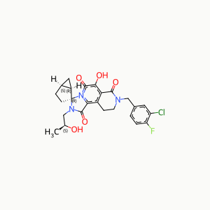 C[C@H](O)CN1C(=O)c2c3c(c(O)c(=O)n2[C@@]12CC[C@H]1C[C@H]12)C(=O)N(Cc1ccc(F)c(Cl)c1)CC3